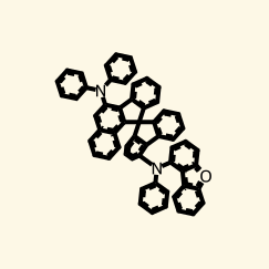 c1ccc(N(c2ccccc2)c2cc3ccccc3c3c2-c2ccccc2C32c3ccccc3-c3c(N(c4ccccc4)c4cccc5oc6ccccc6c45)cccc32)cc1